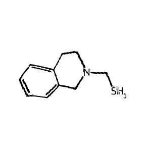 [SiH3]CN1CCc2ccccc2C1